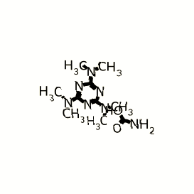 CN(C)c1nc(N(C)C)nc(N(C)C)n1.NC(=O)O